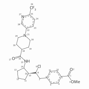 COC(=O)c1ccc(CC(Cl)[C@H]2CCCC2NC(=O)C2CCN(c3ccc(C(F)(F)F)nc3)CC2)cc1